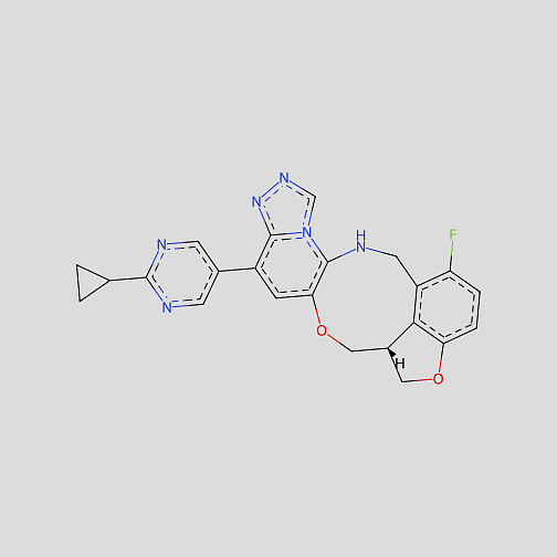 Fc1ccc2c3c1CNc1c(cc(-c4cnc(C5CC5)nc4)c4nncn14)OC[C@H]3CO2